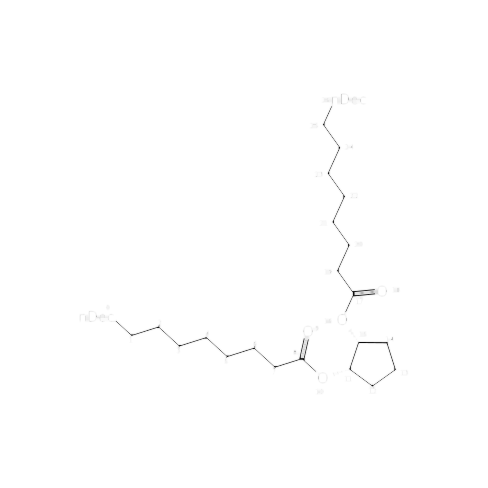 CCCCCCCCCCCCCCCCCC(=O)O[C@H]1CCC[C@H]1OC(=O)CCCCCCCCCCCCCCCCC